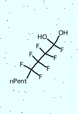 CCCCCC(F)(F)C(F)(F)C(F)(F)C(O)(O)F